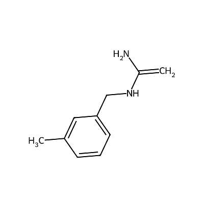 C=C(N)NCc1cccc(C)c1